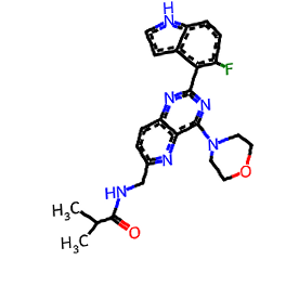 CC(C)C(=O)NCc1ccc2nc(-c3c(F)ccc4[nH]ccc34)nc(N3CCOCC3)c2n1